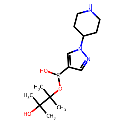 CC(C)(O)C(C)(C)OB(O)c1cnn(C2CCNCC2)c1